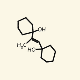 CC(=CC1(O)CCCCC1)C1(O)CCCCC1